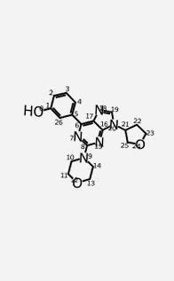 Oc1cccc(-c2nc(N3CCOCC3)nc3c2ncn3C2CCOC2)c1